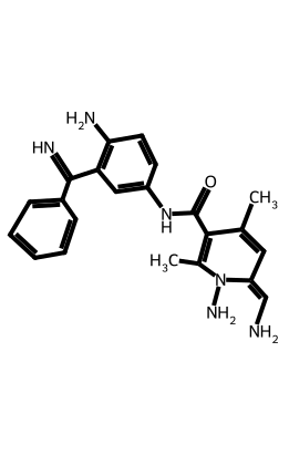 CC1=C/C(=C/N)N(N)C(C)=C1C(=O)Nc1ccc(N)c(C(=N)c2ccccc2)c1